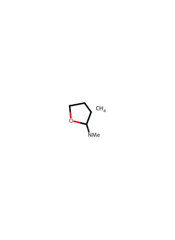 C.CNC1CCCO1